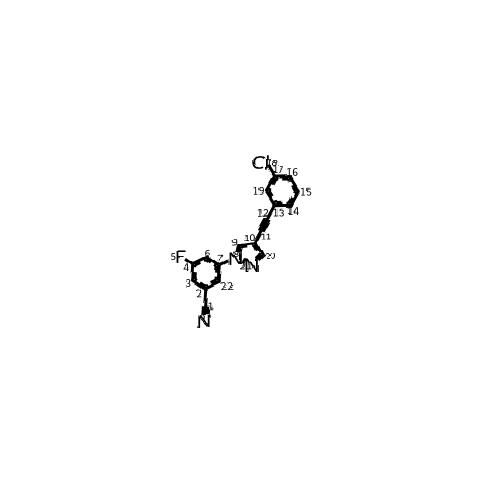 N#Cc1cc(F)cc(-n2cc(C#Cc3cccc(Cl)c3)cn2)c1